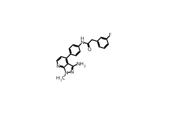 Cn1nc(N)c2c(-c3ccc(NC(=O)Cc4cccc(F)c4)cc3)ccnc21